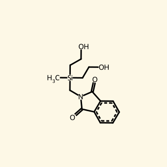 C[Si](CCO)(CCO)CN1C(=O)c2ccccc2C1=O